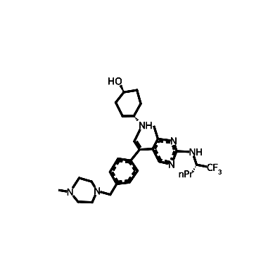 CCC[C@H](Nc1ncc(/C(=C\N[C@H]2CC[C@H](O)CC2)c2ccc(CN3CCN(C)CC3)cc2)c(C)n1)C(F)(F)F